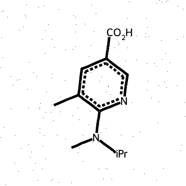 Cc1cc(C(=O)O)cnc1N(C)C(C)C